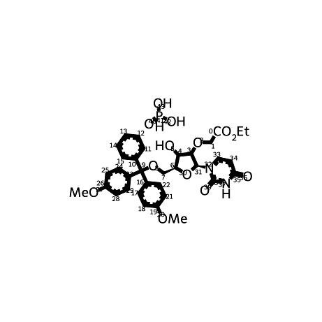 CCOC(=O)COC1C(O)[C@H](COC(c2ccccc2)(c2ccc(OC)cc2)c2ccc(OC)cc2)O[C@@H]1n1ccc(=O)[nH]c1=O.O=[PH](O)O